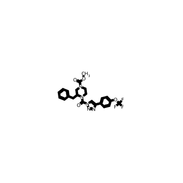 COC(=O)N1CCN(C(=O)n2cc(-c3ccc(OC(F)(F)F)cc3)nn2)C(Cc2ccccc2)C1